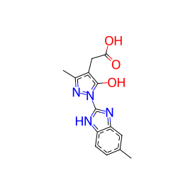 Cc1ccc2[nH]c(-n3nc(C)c(CC(=O)O)c3O)nc2c1